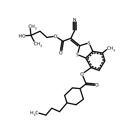 CCCCC1CCC(C(=O)Oc2ccc(C)c3c2S/C(=C(/C#N)C(=O)OCCC(C)(C)O)S3)CC1